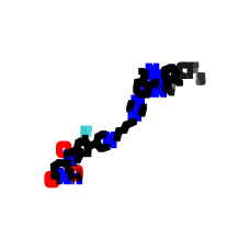 Cc1c([C@@H](C)Nc2nnc(C)c3ccc(N4CCN(CCCCCN5CCC(c6cc7c(cc6F)C(=O)N(C6CCC(=O)NC6=O)C7)CC5)CC4)cc23)cccc1C(F)(F)F